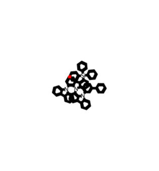 c1ccc(-c2cccc(-n3c4ccccc4c4cccc(-n5c6cccc([Si](c7ccccc7)(c7ccccc7)c7ccccc7)c6c6cccc(-n7c8ccccc8c8ccccc87)c65)c43)c2)cc1